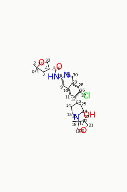 CC1(C)C[C@@H](C(=O)Nc2cc3cc(C4CCN([C@@]5(C)COC[C@H]5O)CC4)c(Cl)cc3cn2)CO1